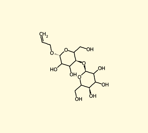 C=CCO[C@@H]1OC(CO)[C@@H](O[C@@H]2OC(CO)[C@H](O)C(O)C2O)C(O)C1O